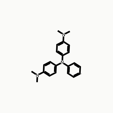 CN(C)c1ccc(N(c2cc[c]cc2)c2ccc(N(C)C)cc2)cc1